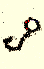 CO[C@H]1C[C@@H]2CC[C@@H](C)[C@@](O)(O2)C(=O)C(=O)N2CCCC[C@H]2C(=O)O[C@H]([C@H](N)C[C@@H]2CC[C@@H](OC(=O)NCc3cnc(N4CCN(c5ncc(C(=O)N6CCN(c7ncc(C(=O)N8CCc9cc(Cn%10nc(-c%11ccc%12oc(N)nc%12c%11)c%11c(N)ncnc%11%10)ccc9C8)cn7)CC6)cn5)CC4)nc3)[C@H](OC)C2)CC(=O)[C@H](C)/C=C(\C)[C@@H](O)[C@@H](OC)C(=O)[C@H](C)C[C@H](C)/C=C/C=C/C=C/1C